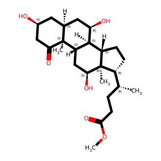 COC(=O)CC[C@@H](C)[C@H]1CC[C@H]2[C@@H]3[C@H](O)C[C@@H]4C[C@H](O)CC(=O)[C@]4(C)[C@H]3C[C@H](O)[C@]12C